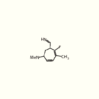 CNC1C=CC(C)=C(F)C(C=N)C1